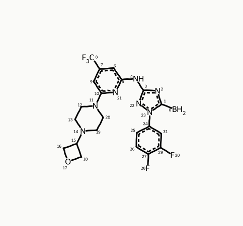 Bc1nc(Nc2cc(C(F)(F)F)cc(N3CCN(C4COC4)CC3)n2)nn1-c1ccc(F)c(F)c1